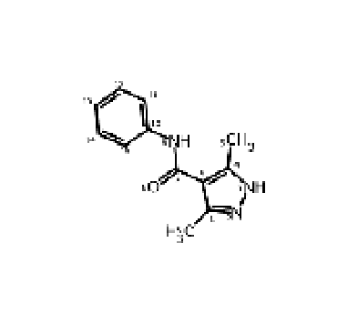 Cc1n[nH]c(C)c1C(=O)Nc1ccccc1